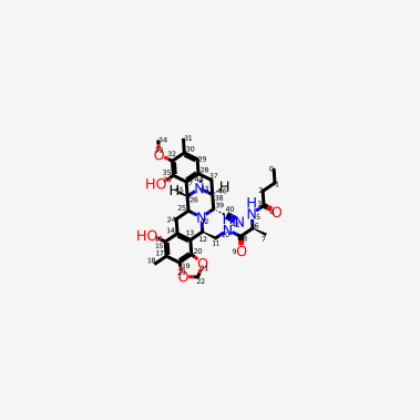 CCCC(=O)N[C@@H](C)C(=O)NC[C@H]1c2c(c(O)c(C)c3c2OCO3)CC2[C@@H]3c4c(cc(C)c(OC)c4O)C[C@@H]([C@H](C#N)N21)N3C